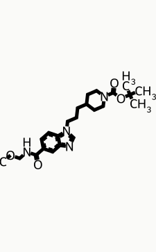 COCNC(=O)c1ccc2c(c1)ncn2CCCC1CCN(C(=O)OC(C)(C)C)CC1